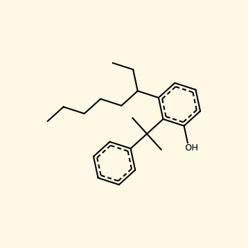 CCCCCC(CC)c1cccc(O)c1C(C)(C)c1ccccc1